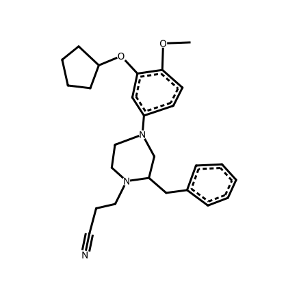 COc1ccc(N2CCN(CCC#N)C(Cc3ccccc3)C2)cc1OC1CCCC1